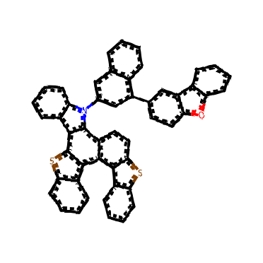 c1ccc2c(-c3ccc4oc5ccccc5c4c3)cc(-n3c4ccccc4c4c5sc6ccccc6c5c5c(ccc6sc7ccccc7c65)c43)cc2c1